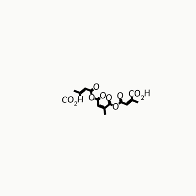 C/C(=C/C(=O)OC(=O)/C=C(/C)C(=O)OC(=O)/C=C(/C)C(=O)O)C(=O)O